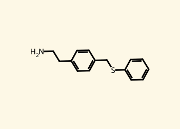 NCCc1ccc(CSc2ccccc2)cc1